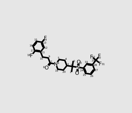 CC(C)(C1CCN(C(=O)CCc2cc(F)ccc2F)CC1)S(=O)(=O)c1cccc(C(F)(F)F)c1